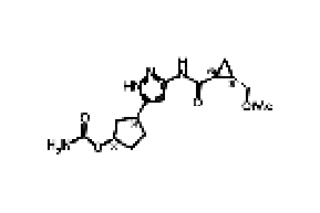 COC[C@H]1C[C@@H]1C(=O)Nc1cc([C@H]2CC[C@@H](OC(N)=O)C2)[nH]n1